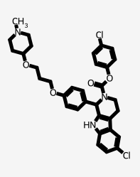 CN1CCC(OCCCOc2ccc(C3c4[nH]c5ccc(Cl)cc5c4CCN3C(=O)Oc3ccc(Cl)cc3)cc2)CC1